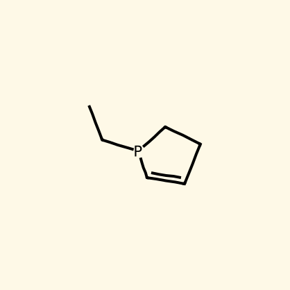 CCP1C=CCC1